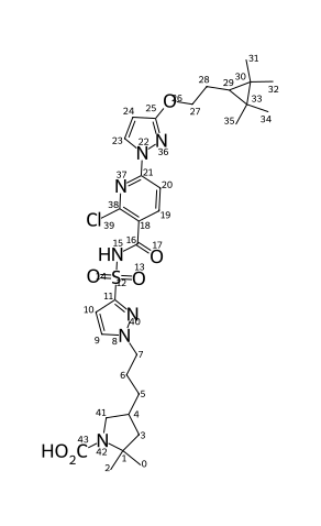 CC1(C)CC(CCCn2ccc(S(=O)(=O)NC(=O)c3ccc(-n4ccc(OCCC5C(C)(C)C5(C)C)n4)nc3Cl)n2)CN1C(=O)O